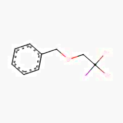 BrC(Br)(I)COCc1ccccc1